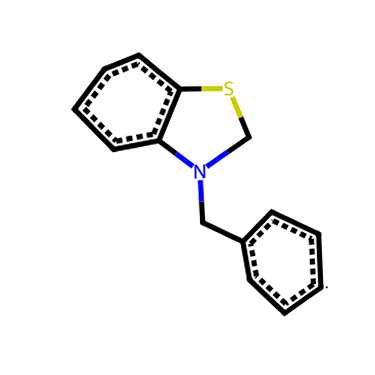 [c]1ccc(CN2CSc3ccccc32)cc1